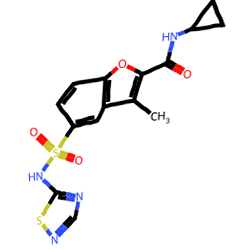 Cc1c(C(=O)NC2CC2)oc2ccc(S(=O)(=O)Nc3ncns3)cc12